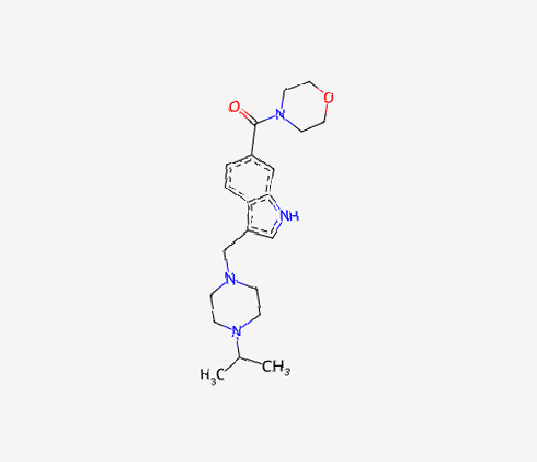 CC(C)N1CCN(Cc2c[nH]c3cc(C(=O)N4CCOCC4)ccc23)CC1